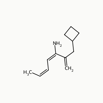 C=C(CC1CCC1)/C(N)=C\C=C/C